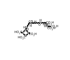 O=C(O)CC[C@H](NC(=O)N[C@@H](CCCCNC(=O)CCCCCCC(=O)N[C@@H](CCCCNC(=O)CN1CCN(CC(=O)O)CCN(CC(=O)O)CCN(CC(=O)O)CC1)C(=O)O)C(=O)O)C(=O)O